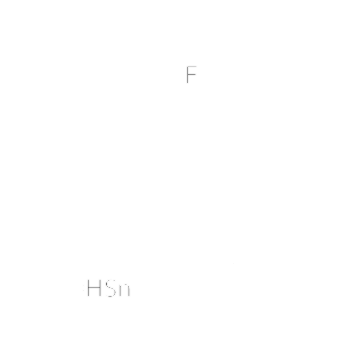 Fc1ccc[c]([SnH])c1